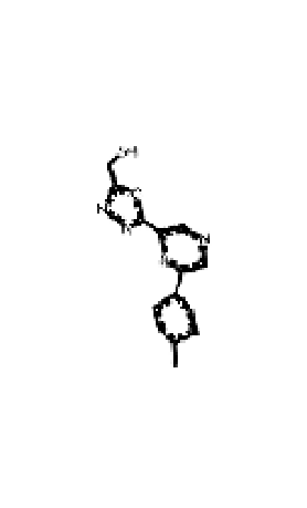 Cc1ccc(-c2cncc(-c3nnc(CS)o3)n2)cc1